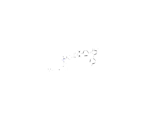 COC(=O)OC(C)O/N=[N+](/[O-])N1CC(C(=O)NS(=O)(=O)c2ccc(-n3nc(C(F)(F)F)cc3-c3ccc(C)cc3)cc2)C1